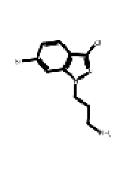 NCCCn1nc(Cl)c2ccc(Br)cc21